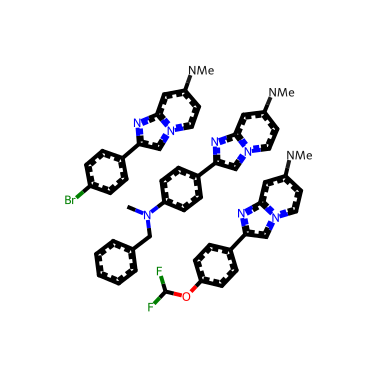 CNc1ccn2cc(-c3ccc(Br)cc3)nc2c1.CNc1ccn2cc(-c3ccc(N(C)Cc4ccccc4)cc3)nc2c1.CNc1ccn2cc(-c3ccc(OC(F)F)cc3)nc2c1